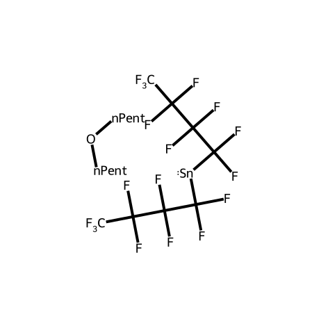 CCCCCOCCCCC.FC(F)(F)C(F)(F)C(F)(F)[C](F)(F)[Sn][C](F)(F)C(F)(F)C(F)(F)C(F)(F)F